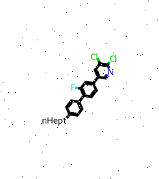 CCCCCCCc1ccc(-c2ccc(-c3cnc(Cl)c(Cl)c3)cc2F)cc1